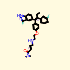 CC/C(=C(/c1ccc(OCCNC/C=C/C(=O)N(C)C)cc1)c1ccc2[nH]nc(F)c2c1)c1cccc(F)c1